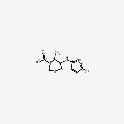 CC1C(Nc2ccc(Cl)nn2)CCCN1C(=O)O